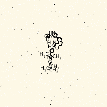 Cc1nn(COCC[Si](C)(C)C)c(C)c1-c1ccc(NC(=O)[C@@H](N)[C@@H]2CCCc3ccc(-c4ccnc(N5C[C@H]6C[C@@H]5CO6)c4)cc32)cc1